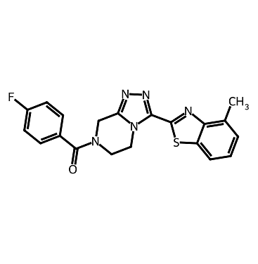 Cc1cccc2sc(-c3nnc4n3CCN(C(=O)c3ccc(F)cc3)C4)nc12